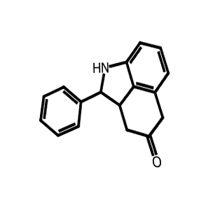 O=C1Cc2cccc3c2C(C1)C(c1ccccc1)N3